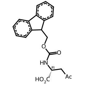 CC(=O)C[C@@H](NC(=O)OCC1c2ccccc2-c2ccccc21)C(=O)O